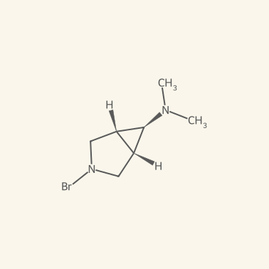 CN(C)[C@H]1[C@@H]2CN(Br)C[C@@H]21